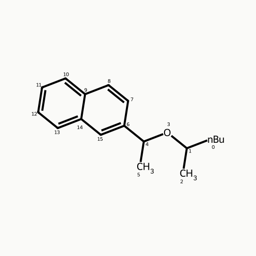 CCCCC(C)OC(C)c1ccc2ccccc2c1